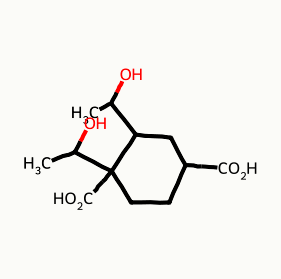 CC(O)C1CC(C(=O)O)CCC1(C(=O)O)C(C)O